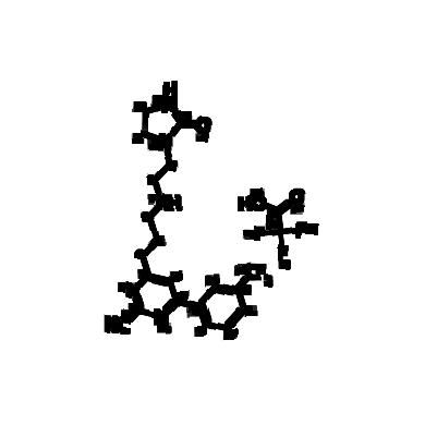 N#Cc1nc(CCCNCCN2CCNC2=O)cc(-c2cccc(C(F)(F)F)c2)n1.O=C(O)C(F)(F)F